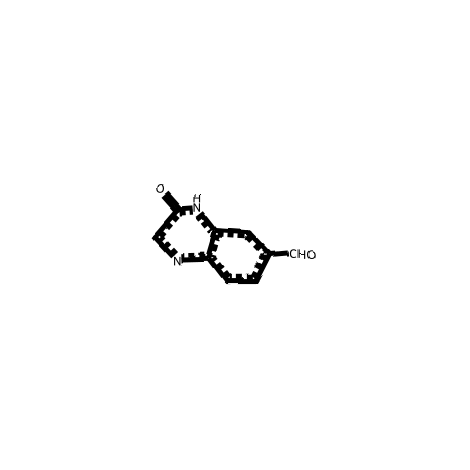 O=Cc1ccc2ncc(=O)[nH]c2c1